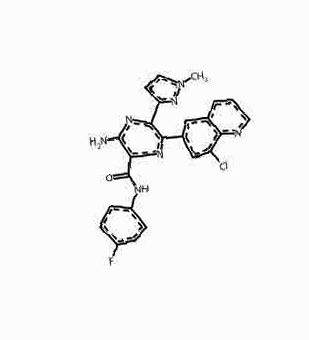 Cn1ccc(-c2nc(N)c(C(=O)Nc3ccc(F)cc3)nc2-c2cc(Cl)c3ncccc3c2)n1